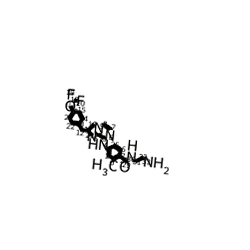 Cc1cc(NC2=NC=CN3CC(Cc4ccc(OC(F)F)cc4)N=C23)ccc1C(=O)NCCN